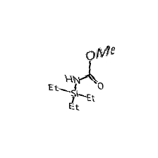 CC[Si](CC)(CC)NC(=O)OC